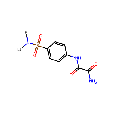 CCN(CC)S(=O)(=O)c1ccc(NC(=O)C(N)=O)cc1